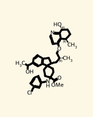 COC(=O)C1(Nc2cccc(Cl)c2)CCC2(CC1)c1cc(C(C)O)ccc1CC2C[C@@H](C)COc1ccnc2c1[C@H](C)CC[C@H]2O